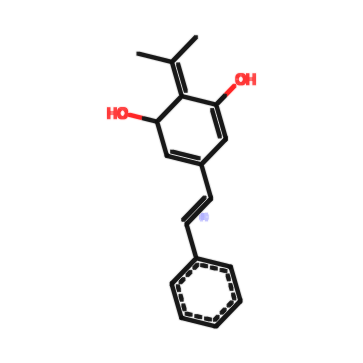 CC(C)=C1C(O)=CC(/C=C/c2ccccc2)=CC1O